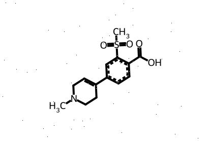 CN1CC=C(c2ccc(C(=O)O)c(S(C)(=O)=O)c2)CC1